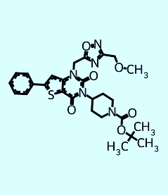 COCc1noc(Cn2c(=O)n(C3CCN(C(=O)OC(C)(C)C)CC3)c(=O)c3sc(-c4ccccc4)cc32)n1